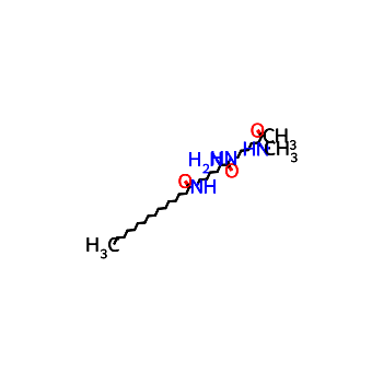 CCCCCCCCCCCCCCCC(=O)NCCCCC(N)C(=O)NCCCCC(NC)C(C)=O